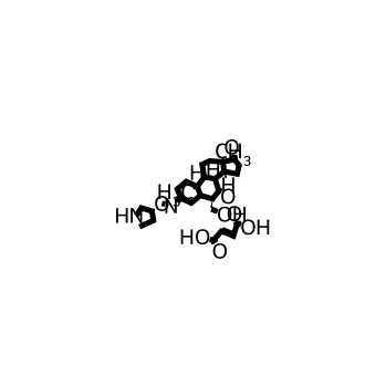 C[C@]12CCC(=NO[C@@H]3CCNC3)CC1[C@@H](CO)C(=O)[C@@H]1[C@@H]2CC[C@]2(C)C(=O)CC[C@@H]12.O=C(O)/C=C/C(=O)O